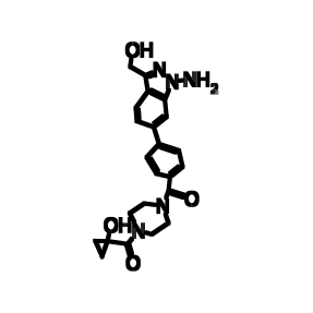 Nn1nc(CO)c2ccc(-c3ccc(C(=O)N4CCN(C(=O)C5(O)CC5)CC4)cc3)cc21